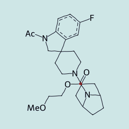 COCCOC(=O)N1C2CCC1CC(N1CCC3(CC1)CN(C(C)=O)c1ccc(F)cc13)C2